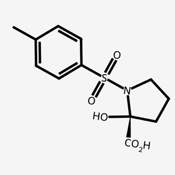 Cc1ccc(S(=O)(=O)N2CCC[C@@]2(O)C(=O)O)cc1